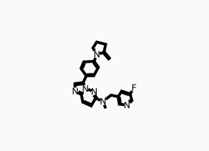 C=C1CCCN1c1ccc(-c2cnc3ccc(N(C)Cc4cncc(F)c4)nn23)cc1